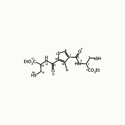 CCOC(=O)C(CS)NC(=O)c1csc(C(=O)NC(CS)C(=O)OCC)c1C